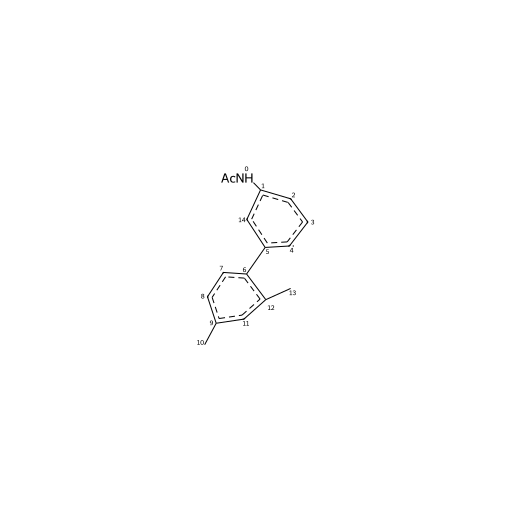 CC(=O)Nc1cc[c]c(-c2ccc(C)cc2C)c1